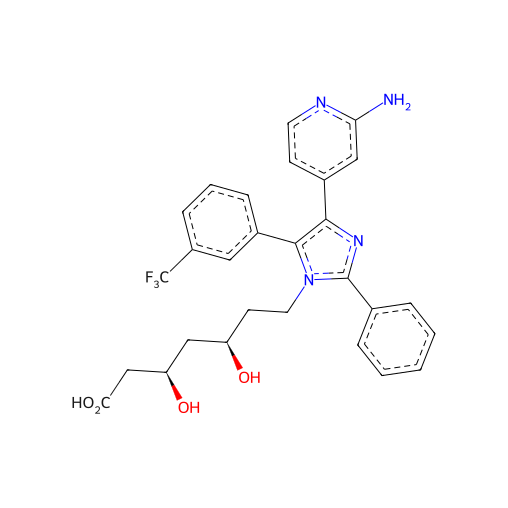 Nc1cc(-c2nc(-c3ccccc3)n(CC[C@@H](O)C[C@@H](O)CC(=O)O)c2-c2cccc(C(F)(F)F)c2)ccn1